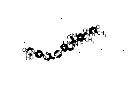 Cc1nc(NC(=O)c2ccc(-c3nn4c(c3C(N)=O)Nc3ccc(N5CCN(CC6CCN(c7ccc(N8CCC(=O)NC8=O)cc7)CC6)CC5)cc3CC4)c(F)c2C)ccc1Cl